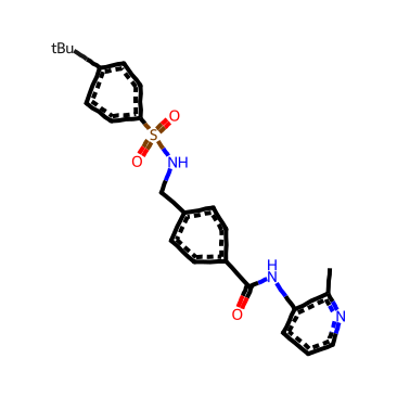 Cc1ncccc1NC(=O)c1ccc(CNS(=O)(=O)c2ccc(C(C)(C)C)cc2)cc1